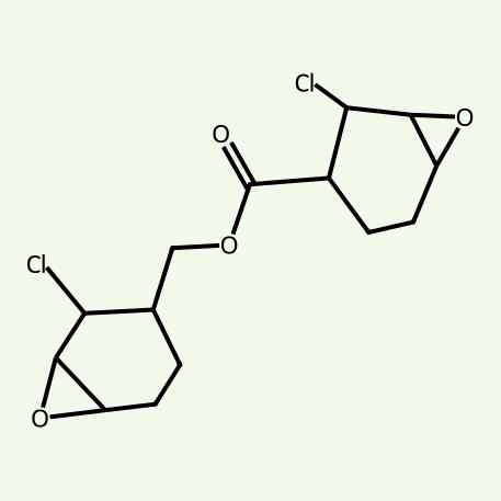 O=C(OCC1CCC2OC2C1Cl)C1CCC2OC2C1Cl